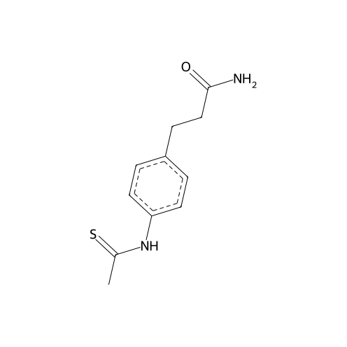 CC(=S)Nc1ccc(CCC(N)=O)cc1